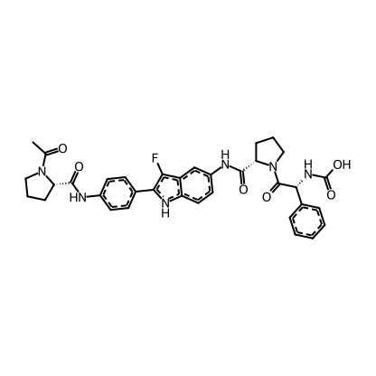 CC(=O)N1CCC[C@H]1C(=O)Nc1ccc(-c2[nH]c3ccc(NC(=O)[C@@H]4CCCN4C(=O)[C@H](NC(=O)O)c4ccccc4)cc3c2F)cc1